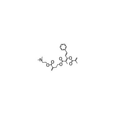 C=C(C)C(=O)OC(C=Cc1ccccc1)=C(C)C(=O)OCCC(=C)C(=O)OCCN(C)C